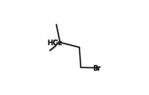 [CH3][GeH]([CH3])[CH2]CBr